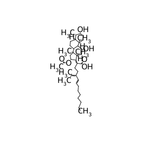 CCCCCCCC=CC(CCC(C(=O)O)=C1[C@@H](OC(C)=O)C[C@@]2(C)[C@@H]1C[C@@H](O)[C@@H]1[C@@]3(C)CC[C@@H](O)[C@@H](C)[C@H]3CC[C@@]12C)=C(C)C